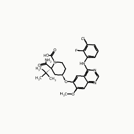 COc1cc2ncnc(Nc3cccc(Cl)c3F)c2cc1O[C@@H]1CCN(C(=O)O)[C@@](C(N)=O)(C(C)(C)C)C1